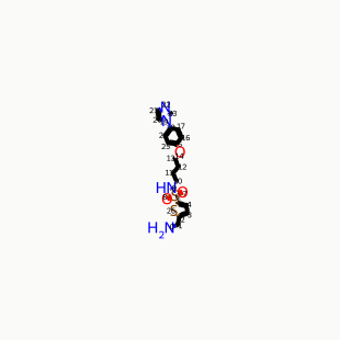 NCc1ccc(S(=O)(=O)NCCCCOc2ccc(-n3ccnc3)cc2)s1